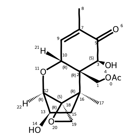 CC(=O)OC[C@]12[C@H](O)C(=O)C(C)=C[C@H]1O[C@@H]1[C@H](O)C[C@@]2(C)[C@]12CO2